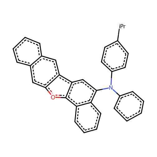 CC(C)c1ccc(N(c2ccccc2)c2cc3c4cc5ccccc5cc4oc3c3ccccc23)cc1